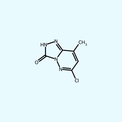 Cc1cc(Cl)nn2c(=O)[nH]nc12